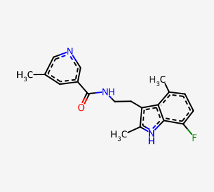 Cc1cncc(C(=O)NCCc2c(C)[nH]c3c(F)ccc(C)c23)c1